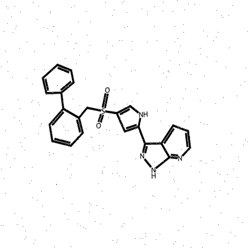 O=S(=O)(Cc1ccccc1-c1ccccc1)c1c[nH]c(-c2n[nH]c3ncccc23)c1